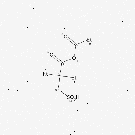 CCC(=O)OC(=O)C(CC)(CC)CS(=O)(=O)O